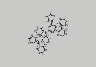 c1ccc(-c2cc(-n3c4ccccc4c4c3ccc3c5ccccc5n(-c5ccccc5)c34)nc(-c3cccc4oc5ccccc5c34)n2)cc1